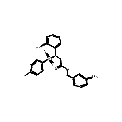 CSc1ccccc1N(CC(=O)NCc1cccc(C(=O)O)c1)S(=O)(=O)c1ccc(C)cc1